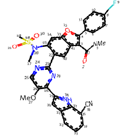 CNC(=O)c1c(-c2ccc(F)cc2)oc2cc(N(C)S(C)(=O)=O)c(-c3ncc(OC)c(-c4cc5cccc(C#N)c5[nH]4)n3)cc12